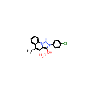 CC1=CC2=C(O)N(c3ccc(Cl)cc3)NN2c2ccccc21.O